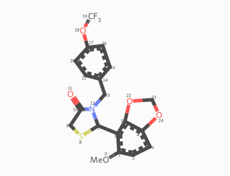 COc1ccc2c(c1C1SCC(=O)N1Cc1ccc(OC(F)(F)F)cc1)OCO2